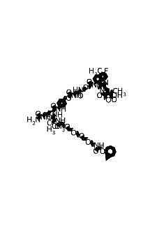 CC[C@@]1(O)C(=O)OCc2c1cc1n(c2=O)Cc2c-1nc1cc(F)c(C)c3c1c2[C@@H](NC(=O)COCNC(=O)CNC(=O)OCc1ccc(NC(=O)[C@H](CCCNC(N)=O)NC(=O)[C@@H](NC(=O)CCOCCOCCOCCOCCNC(=O)COC2CCCCCC4=C2C4)C(C)C)cc1)CC3